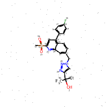 CCC(O)(c1cn(Cc2ccc3c(-c4ccc(F)cc4)cc(S(C)(=O)=O)nc3c2)nn1)C(F)(F)F